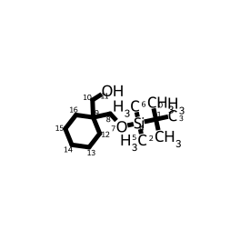 CC(C)(C)[Si](C)(C)OCC1(CO)CCCCC1